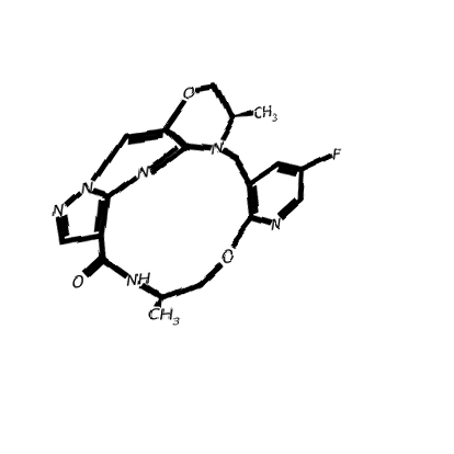 C[C@@H]1COc2ncc(F)cc2CN2c3nc4c(cnn4cc3OC[C@H]2C)C(=O)N1